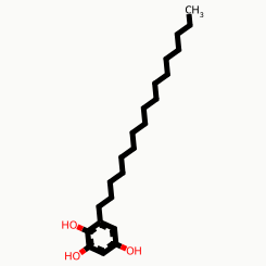 CCCCCCCCCCCCCCCCCc1cc(O)cc(O)c1O